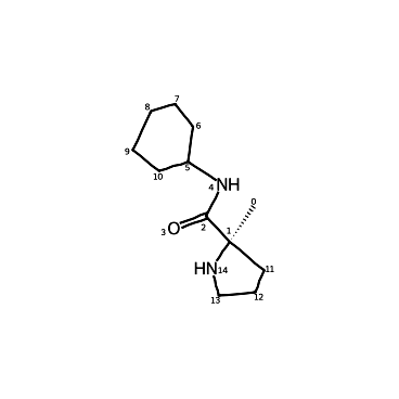 C[C@]1(C(=O)NC2CCCCC2)CCCN1